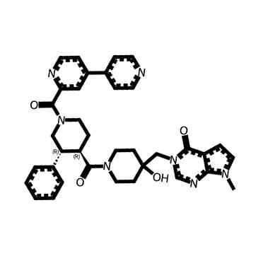 Cn1ccc2c(=O)n(CC3(O)CCN(C(=O)[C@@H]4CCN(C(=O)c5cc(-c6ccncc6)ccn5)C[C@H]4c4ccccc4)CC3)cnc21